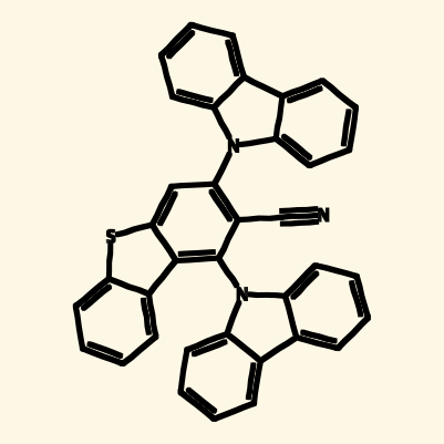 N#Cc1c(-n2c3ccccc3c3ccccc32)cc2sc3ccccc3c2c1-n1c2ccccc2c2ccccc21